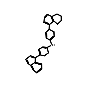 C1=CC(c2cccc3c2CCCC3)CC=C1NC1=CC=C(c2cccc3ccccc23)CC1